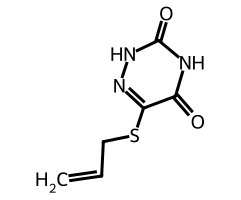 C=CCSc1n[nH]c(=O)[nH]c1=O